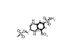 CS(=O)(=O)OC[C@@H]1CNc2cc(S(N)(=O)=O)cc([N+](=O)[O-])c2N1